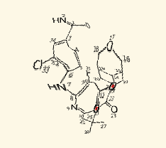 CC(=N)c1ccc(Nc2ncnc(OC3C4COCC3CN(C(=O)OC(C)(C)C)C4)c2F)c(Cl)c1